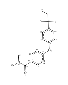 CCC(C)(C)c1ccc(Oc2ccc(C(=O)N(C)C)cn2)cc1